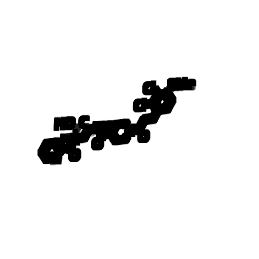 CSc1ccc(C=CC(=O)N2CCC(C(=O)N[C@@H](CNC(=O)c3ccccn3)C(=O)O)CC2)c(Cl)c1Cl